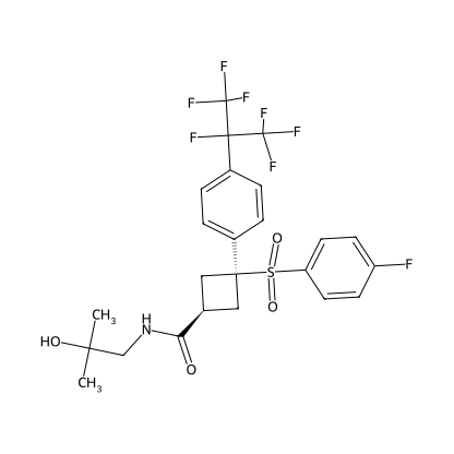 CC(C)(O)CNC(=O)[C@H]1C[C@@](c2ccc(C(F)(C(F)(F)F)C(F)(F)F)cc2)(S(=O)(=O)c2ccc(F)cc2)C1